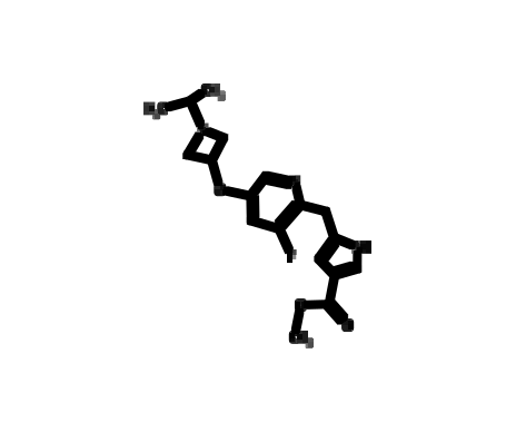 COC(=O)c1c[nH]c(Cc2ncc(OC3CN(C(C)C)C3)cc2F)c1